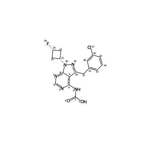 O=C(O)Nc1ncnc2c1c(Cc1cccc(Cl)c1)nn2[C@H]1C[C@@H](F)C1